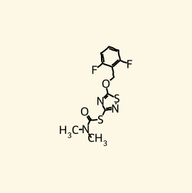 CN(C)C(=O)Sc1nsc(OCc2c(F)cccc2F)n1